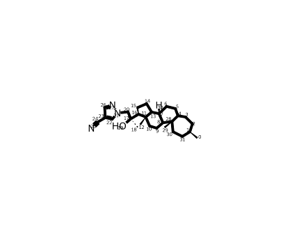 C[C@@H]1CCC2CC[C@@H]3C(CC[C@@]4(C)C3CC[C@@H]4[C@@](C)(O)Cn3cc(C#N)cn3)[C@@]2(C)CC1